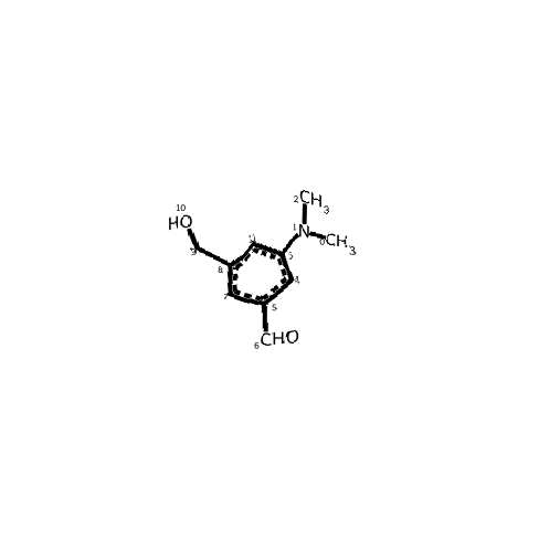 CN(C)c1cc(C=O)cc(CO)c1